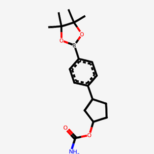 CC1(C)OB(c2ccc(C3CCC(OC(N)=O)C3)cc2)OC1(C)C